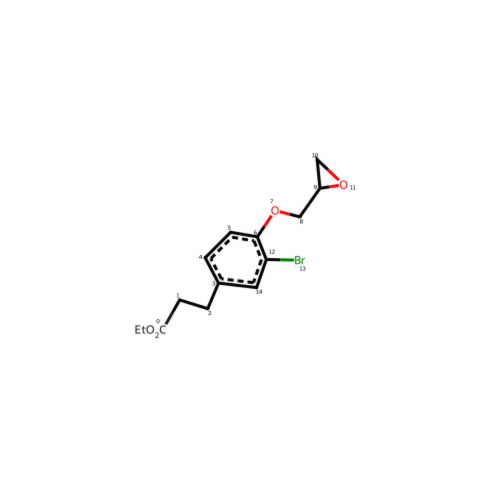 CCOC(=O)CCc1ccc(OCC2CO2)c(Br)c1